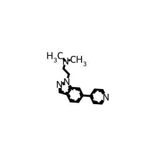 CN(C)CCn1ncc2ccc(-c3ccncc3)cc21